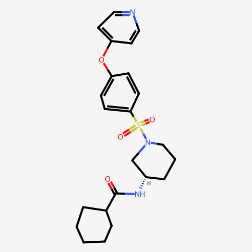 O=C(N[C@H]1CCCN(S(=O)(=O)c2ccc(Oc3ccncc3)cc2)C1)C1CCCCC1